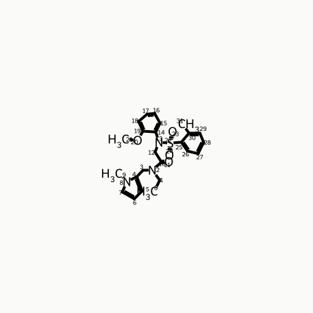 CCN(Cc1cccn1C)C(=O)CN(c1ccccc1OC)S(=O)(=O)c1ccccc1C